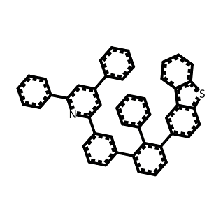 c1ccc(-c2cc(-c3ccccc3)nc(-c3cccc(-c4cccc(-c5ccc6sc7ccccc7c6c5)c4-c4ccccc4)c3)c2)cc1